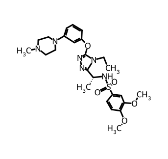 CCn1c(Oc2cccc(N3CCN(C)CC3)c2)nnc1[C@@H](C)NS(=O)(=O)c1ccc(OC)c(OC)c1